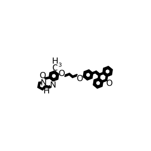 Cc1cc2c(cc1OCCCCOc1ccc(C=C3c4ccccc4C(=O)c4ccccc43)cc1)N=C[C@@H]1CCCN1C2=O